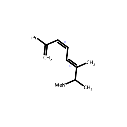 C=C(/C=C\C=C(/C)C(C)NC)C(C)C